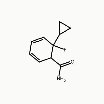 NC(=O)C1C=CC=CC1(F)C1CC1